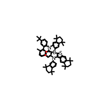 Cc1cc2c3c(c1)N(c1ccc4c(c1)C(C)(C)CCC4(C)C)c1c(sc4cc5c(cc14)C(C)(C)CCC5(C)C)B3c1cc3c(cc1N2c1ccc(C(C)(C)C)cc1-c1ccccc1C)C(C)(C)CCC3(C)C